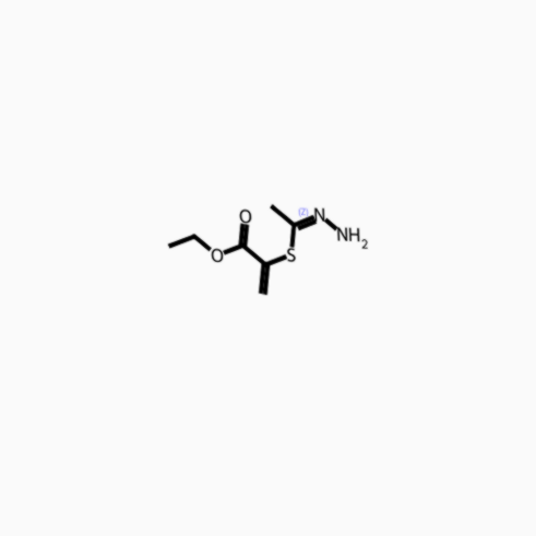 C=C(S/C(C)=N\N)C(=O)OCC